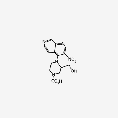 O=C(O)N1CCN(c2c([N+](=O)[O-])cnc3cnccc23)C(CO)C1